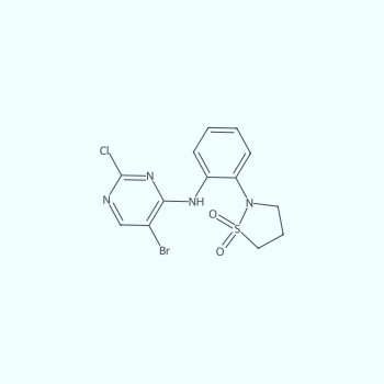 O=S1(=O)CCCN1c1ccccc1Nc1nc(Cl)ncc1Br